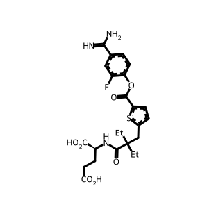 CCC(CC)(Cc1ccc(C(=O)Oc2ccc(C(=N)N)cc2F)s1)C(=O)N[C@@H](CCC(=O)O)C(=O)O